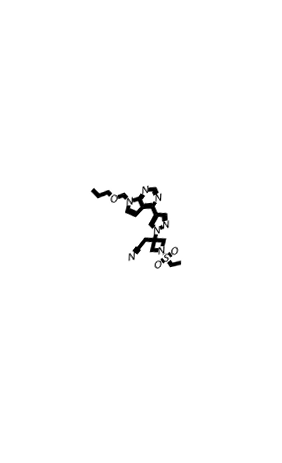 CCCOCn1ccc2c(-c3cnn(C4(CC#N)CN(S(=O)(=O)CC)C4)c3)ncnc21